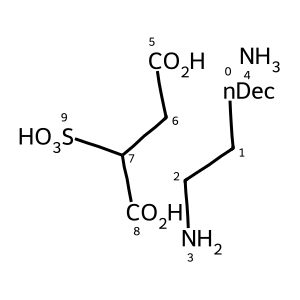 CCCCCCCCCCCCN.N.O=C(O)CC(C(=O)O)S(=O)(=O)O